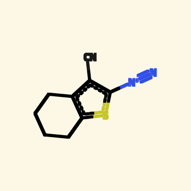 N#Cc1c([N+]#N)sc2c1CCCC2